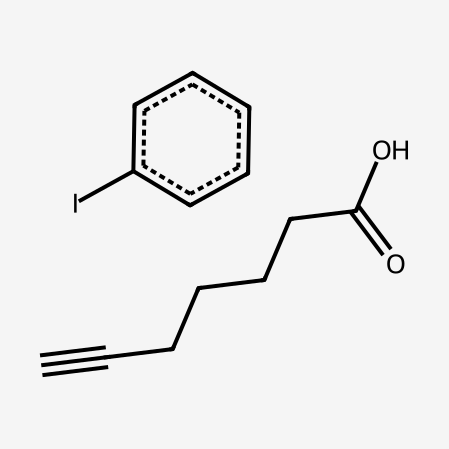 C#CCCCCC(=O)O.Ic1ccccc1